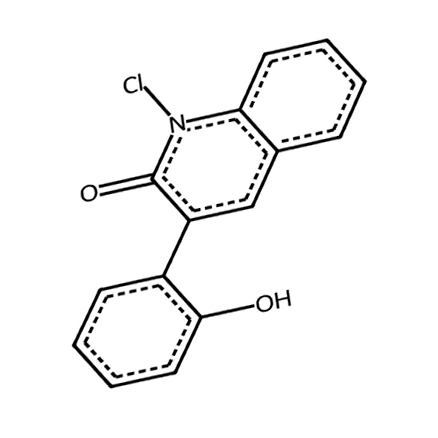 O=c1c(-c2ccccc2O)cc2ccccc2n1Cl